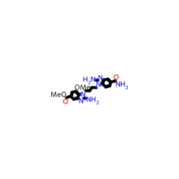 COC(=O)c1cc(OC)c2c(c1)nc(N)n2CCCCn1c(N)nc2cc(C(N)=O)ccc21